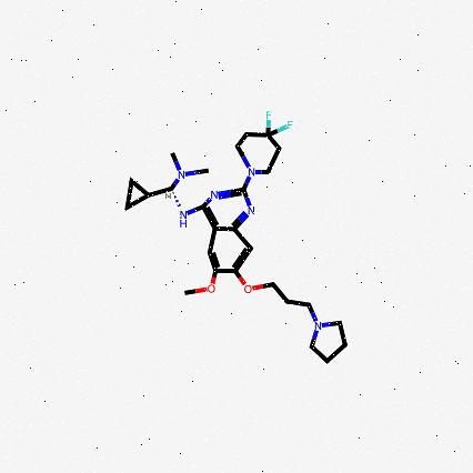 COc1cc2c(N[C@H](C3CC3)N(C)C)nc(N3CCC(F)(F)CC3)nc2cc1OCCCN1CCCC1